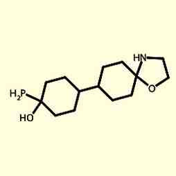 OC1(P)CCC(C2CCC3(CC2)NCCO3)CC1